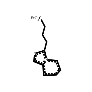 CCOC(=O)CCCc1ncc2ccccn12